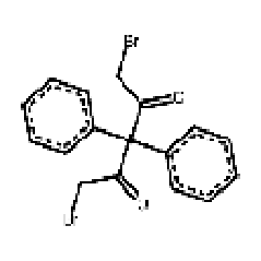 O=C(CBr)C(C(=O)CBr)(c1ccccc1)c1ccccc1